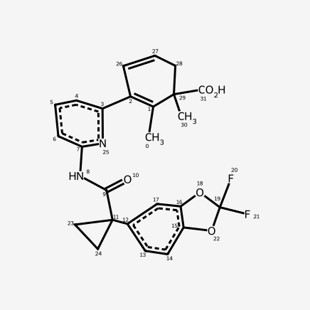 CC1=C(c2cccc(NC(=O)C3(c4ccc5c(c4)OC(F)(F)O5)CC3)n2)C=CCC1(C)C(=O)O